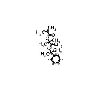 C=C(C)C(=O)OC(C)(C)C(C)OC(C)(C)c1ccccc1